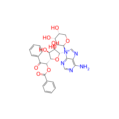 Nc1ncnc2c1N=C[N+]2([C@@H]1OC[C@@H](O)[C@@H](O)[C@H]1O)[C@@H]1O[C@H](C(OC(=O)c2ccccc2)C(=O)c2ccccc2)[C@@H](O)[C@H]1O